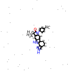 [C-]#[N+]c1ccc(N2C(=O)C(C)(C)c3cc4[nH]c5c(c4cc32)CCCc2c[nH]nc2-5)cc1